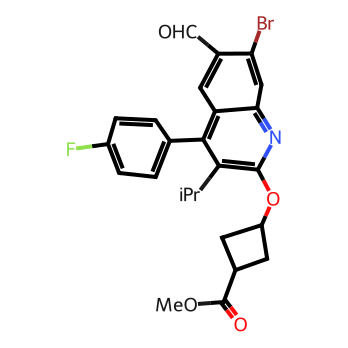 COC(=O)C1CC(Oc2nc3cc(Br)c(C=O)cc3c(-c3ccc(F)cc3)c2C(C)C)C1